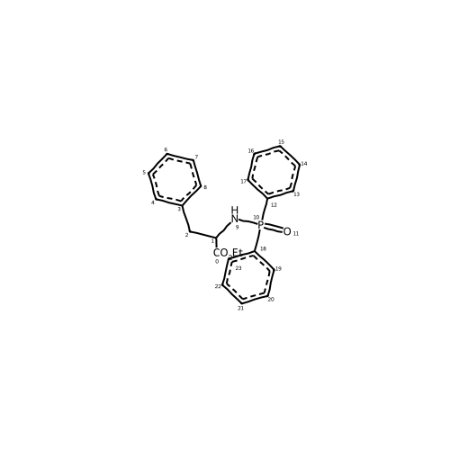 CCOC(=O)C(Cc1ccccc1)NP(=O)(c1ccccc1)c1ccccc1